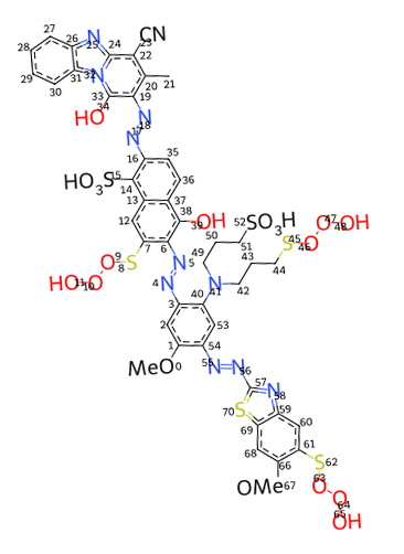 COc1cc(N=Nc2c(SOOO)cc3c(S(=O)(=O)O)c(N=Nc4c(C)c(C#N)c5nc6ccccc6n5c4O)ccc3c2O)c(N(CCCSOOO)CCCS(=O)(=O)O)cc1N=Nc1nc2cc(SOOO)c(OC)cc2s1